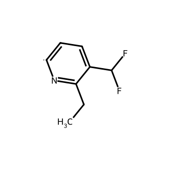 CCc1n[c]ccc1C(F)F